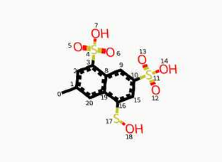 Cc1cc(S(=O)(=O)O)c2cc(S(=O)(=O)O)cc(SO)c2c1